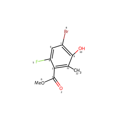 COC(=O)c1c(F)cc(Br)c(O)c1C